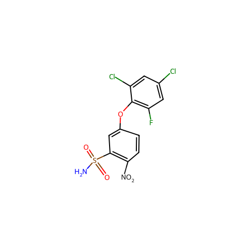 NS(=O)(=O)c1cc(Oc2c(F)cc(Cl)cc2Cl)ccc1[N+](=O)[O-]